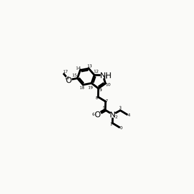 CCN(CC)C(=O)CCc1c[nH]c2ccc(OC)cc12